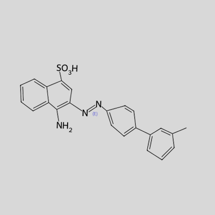 Cc1cccc(-c2ccc(/N=N/c3cc(S(=O)(=O)O)c4ccccc4c3N)cc2)c1